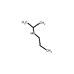 C[CH]CNC(C)C